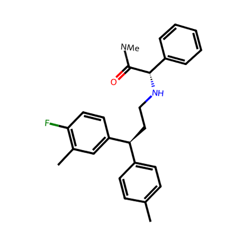 CNC(=O)[C@@H](NCC[C@@H](c1ccc(C)cc1)c1ccc(F)c(C)c1)c1ccccc1